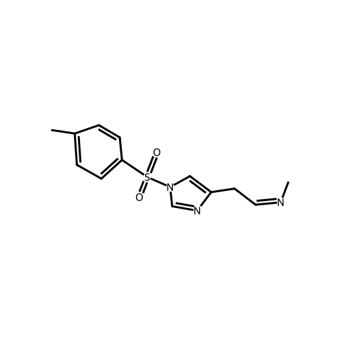 C/N=C\Cc1cn(S(=O)(=O)c2ccc(C)cc2)cn1